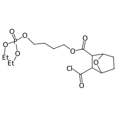 CCOP(=O)(OCC)OCCCCOC(=O)C1C2CCC(O2)C1C(=O)Cl